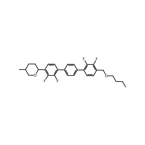 CCCCOCc1ccc(-c2ccc(-c3ccc(C4CCC(C)CO4)c(F)c3F)cc2)c(F)c1F